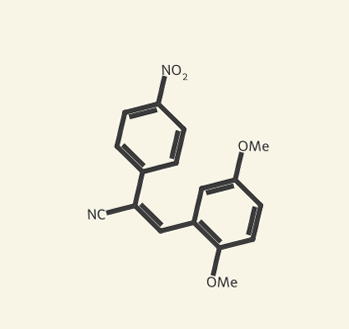 COc1ccc(OC)c(/C=C(/C#N)c2ccc([N+](=O)[O-])cc2)c1